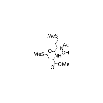 COC(=O)C(CCSC)NC(=O)C(CCSC)N(O)C(C)=O